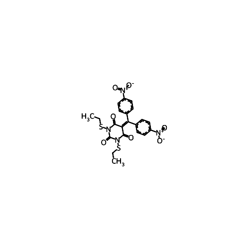 CCSN1C(=O)C(=C(c2ccc([N+](=O)[O-])cc2)c2ccc([N+](=O)[O-])cc2)C(=O)N(SCC)C1=O